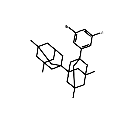 CC12CC3CC(C)(C1)CC(C14CC5(C)CC(C)(CC(c6cc(Br)cc(Br)c6)(C5)C1)C4)(C3)C2